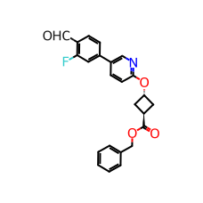 O=Cc1ccc(-c2ccc(O[C@H]3C[C@H](C(=O)OCc4ccccc4)C3)nc2)cc1F